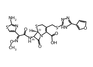 CON=C(C(=O)N[C@@H]1C(=O)N2C(C(=O)O)=C(CSc3nnc(-c4ccoc4)[nH]3)CS[C@@H]12)c1csc(N)n1